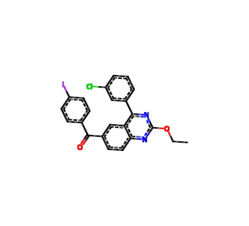 CCOc1nc(-c2cccc(Cl)c2)c2cc(C(=O)c3ccc(I)cc3)ccc2n1